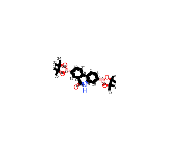 CC1(C)OB(c2ccc3c(c2)[nH]c(=O)c2cc(B4OC(C)(C)C(C)(C)O4)ccc23)OC1(C)C